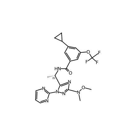 CON(C)c1nc([C@H](C)NC(=O)c2cc(OC(F)(F)F)cc(C3CC3)c2)n(-c2ncccn2)n1